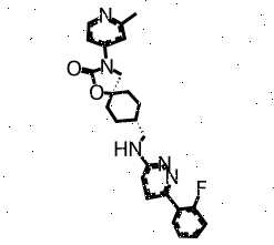 Cc1cc(N2C[C@]3(CC[C@@H](CNc4ccc(-c5ccccc5F)nn4)CC3)OC2=O)ccn1